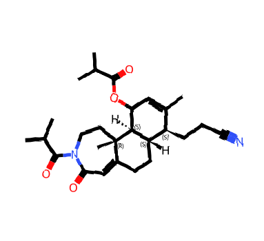 CC1=CC(OC(=O)C(C)C)[C@H]2[C@@H](CCC3=CC(=O)N(C(=O)C(C)C)CC[C@@]32C)[C@@H]1CCC#N